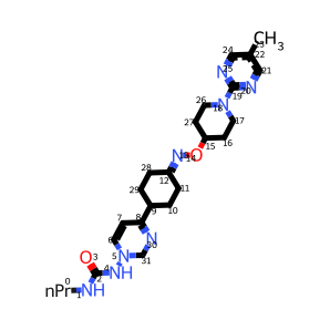 CCCNC(=O)NN1C=CC(C2CCC(=NOC3CCN(c4ncc(C)cn4)CC3)CC2)=NC1